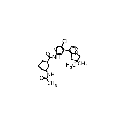 CC(=O)NC1CCCC(C(=O)Nc2cc(-c3cnn4c3CC(C)(C)C4)c(Cl)cn2)C1